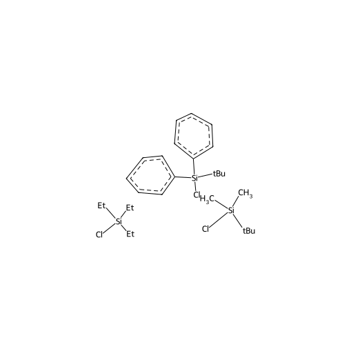 CC(C)(C)[Si](C)(C)Cl.CC(C)(C)[Si](Cl)(c1ccccc1)c1ccccc1.CC[Si](Cl)(CC)CC